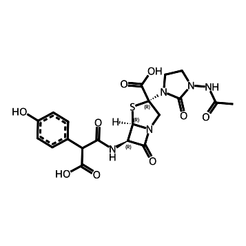 CC(=O)NN1CCN([C@]2(C(=O)O)CN3C(=O)[C@@H](NC(=O)C(C(=O)O)c4ccc(O)cc4)[C@H]3S2)C1=O